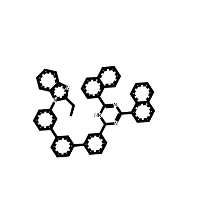 CCc1nc2ccccc2n1-c1cccc(-c2cccc(-c3cccc(C4N=C(c5cccc6ccccc56)N=C(c5cccc6ccccc56)N4)c3)c2)c1